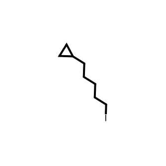 ICCCCCC1CC1